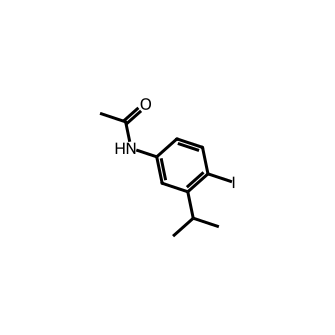 CC(=O)Nc1ccc(I)c(C(C)C)c1